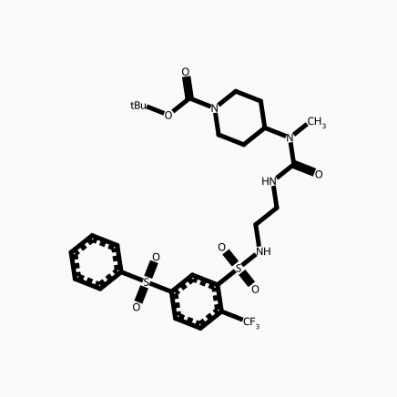 CN(C(=O)NCCNS(=O)(=O)c1cc(S(=O)(=O)c2ccccc2)ccc1C(F)(F)F)C1CCN(C(=O)OC(C)(C)C)CC1